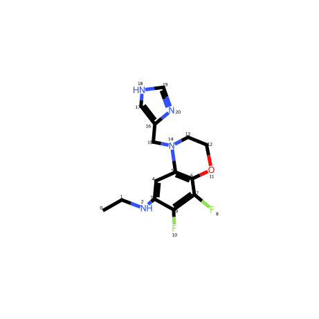 CCNc1cc2c(c(F)c1F)OCCN2Cc1c[nH]cn1